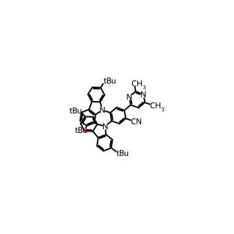 Cc1cc(-c2cc(-n3c4cc(C(C)(C)C)ccc4c4ccc(C(C)(C)C)cc43)c(-n3c4cc(C(C)(C)C)ccc4c4ccc(C(C)(C)C)cc43)cc2C#N)nc(C)n1